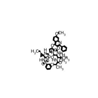 C=C[C@@H]1C[C@]1(NC(=O)[C@@H]1C[C@@H](Oc2cc(-c3ccccc3)nc3cc(OC)ccc23)CN1C(=O)C(NC(=O)O)[C@H](NC(=O)[C@H](C)Cl)C(C)(C)C)C(=O)NS(=O)(=O)c1ccccc1